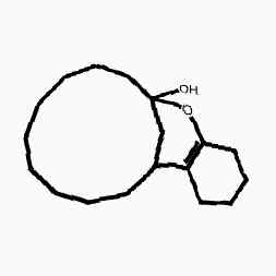 OC12CCCCCCCCCC(C1)C1=C(CCCC1)O2